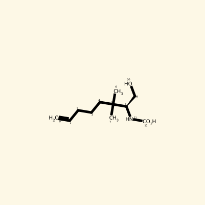 C=CCCCC(C)(C)[C@@H](CO)NC(=O)O